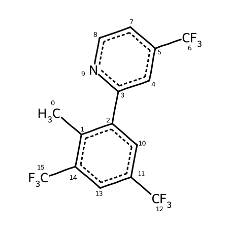 Cc1c(-c2cc(C(F)(F)F)ccn2)cc(C(F)(F)F)cc1C(F)(F)F